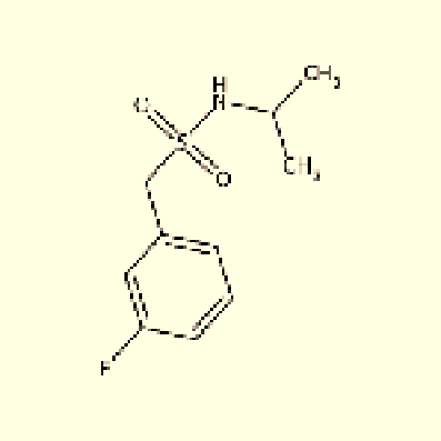 CC(C)NS(=O)(=O)Cc1cccc(F)c1